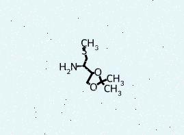 CSC[C@H](N)C1COC(C)(C)O1